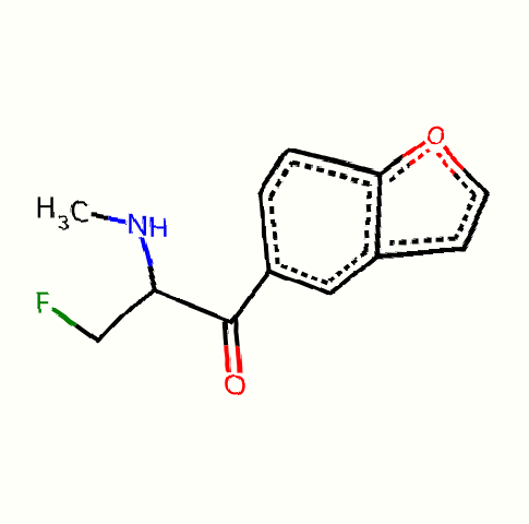 CNC(CF)C(=O)c1ccc2occc2c1